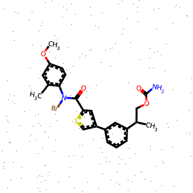 COc1ccc(N(Br)C(=O)c2cc(-c3cccc(C(C)COC(N)=O)c3)cs2)c(C)c1